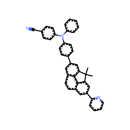 CC1(C)c2cc(-c3ccc(N(c4ccccc4)c4ccc(C#N)cc4)cc3)cc3ccc4cc(-c5ccccn5)cc1c4c23